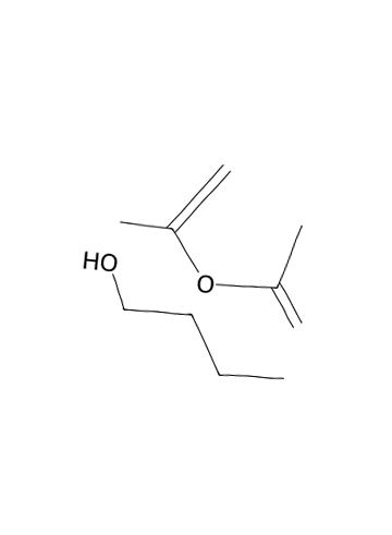 C=C(C)OC(=C)C.CCCCO